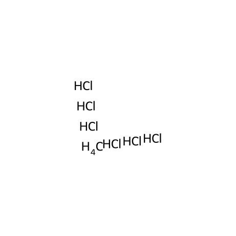 C.Cl.Cl.Cl.Cl.Cl.Cl